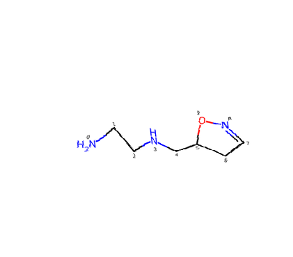 NCCNCC1CC=NO1